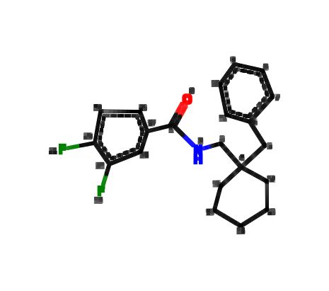 O=C(NCC1(Cc2ccccc2)CCCCC1)c1ccc(F)c(F)c1